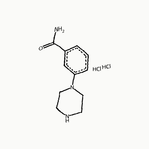 Cl.Cl.NC(=O)c1cccc(N2CCNCC2)c1